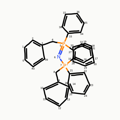 c1ccc(CP(=N[P+](Cc2ccccc2)(c2ccccc2)c2ccccc2)(c2ccccc2)c2ccccc2)cc1